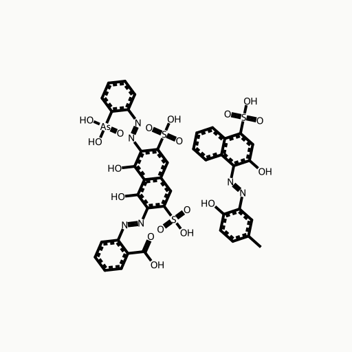 Cc1ccc(O)c(N=Nc2c(O)cc(S(=O)(=O)O)c3ccccc23)c1.O=C(O)c1ccccc1N=Nc1c(S(=O)(=O)O)cc2cc(S(=O)(=O)O)c(N=Nc3ccccc3[As](=O)(O)O)c(O)c2c1O